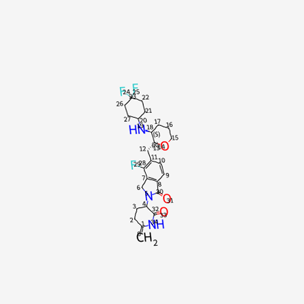 C=C1CCC(N2Cc3c(ccc(C[C@H]4OCCC[C@@H]4NC4CCC(F)(F)CC4)c3F)C2=O)C(=O)N1